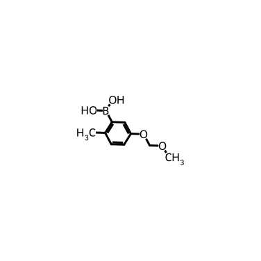 COCOc1ccc(C)c(B(O)O)c1